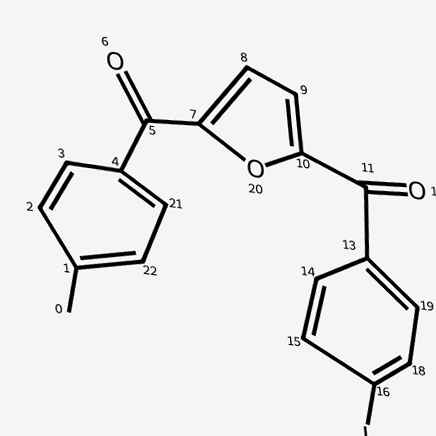 Cc1ccc(C(=O)c2ccc(C(=O)c3ccc(I)cc3)o2)cc1